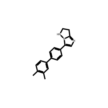 Cc1ccc(-c2ccc(-c3cnc4n3NCC4)cc2)cc1C